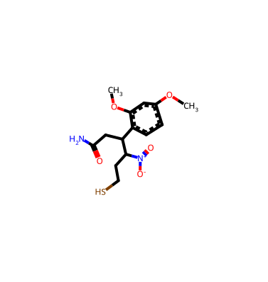 COc1ccc(C(CC(N)=O)C(CCS)[N+](=O)[O-])c(OC)c1